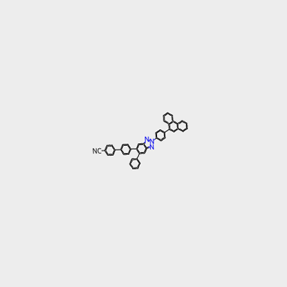 N#Cc1ccc(-c2ccc(-c3cc4nn(-c5ccc(-c6cc7ccccc7c7ccccc67)cc5)nc4cc3-c3ccccc3)cc2)cc1